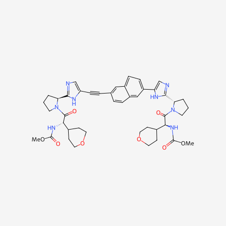 COC(=O)N[C@H](C(=O)N1CCC[C@H]1c1ncc(C#Cc2ccc3cc(-c4cnc([C@@H]5CCCN5C(=O)[C@@H](NC(=O)OC)C5CCOCC5)[nH]4)ccc3c2)[nH]1)C1CCOCC1